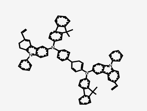 C=CC1=Cc2c(n(-c3ccccc3)c3ccc(N(c4ccc(C5C=CC(N(c6ccc7c(c6)C(C)(C)c6ccccc6-7)c6ccc7c(c6)c6cc(C=C)ccc6n7-c6ccccc6)=CC5)cc4)c4ccc5c(c4)C(C)(C)c4ccccc4-5)cc23)CC1